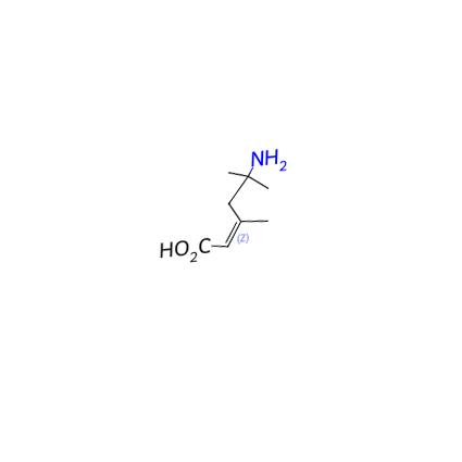 C/C(=C/C(=O)O)CC(C)(C)N